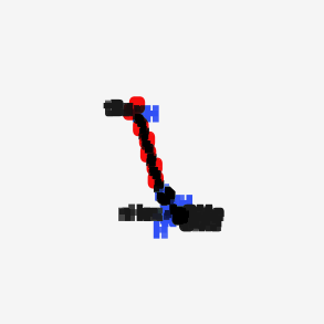 CCCCCCNc1nc(NC2CCN(CCOCCOCCOCCOCCOCCNC(=O)OC(C)(C)C)CC2)c2cc(OC)c(OC)cc2n1